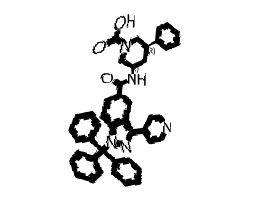 O=C(N[C@@H]1C[C@H](c2ccccc2)CN(C(=O)O)C1)c1ccc2c(c1)c(-c1ccncc1)nn2C(c1ccccc1)(c1ccccc1)c1ccccc1